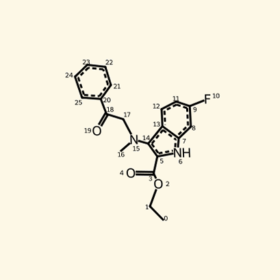 CCOC(=O)c1[nH]c2cc(F)ccc2c1N(C)CC(=O)c1ccccc1